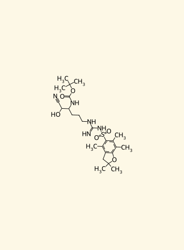 Cc1c(C)c(S(=O)(=O)NC(=N)NCCCC(NC(=O)OC(C)(C)C)C(O)C#N)c(C)c2c1OC(C)(C)C2